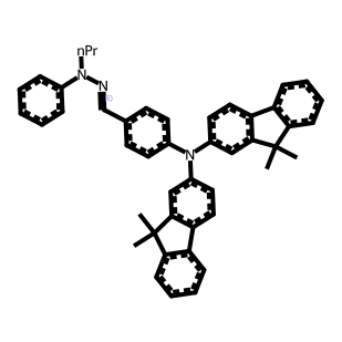 CCCN(/N=C/c1ccc(N(c2ccc3c(c2)C(C)(C)c2ccccc2-3)c2ccc3c(c2)C(C)(C)c2ccccc2-3)cc1)c1ccccc1